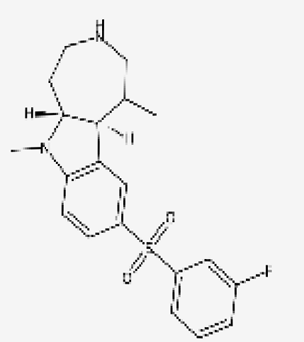 CC1CNCC[C@@H]2[C@@H]1c1cc(S(=O)(=O)c3cccc(F)c3)ccc1N2C